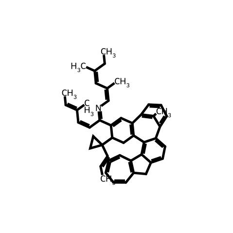 CC=CC1(C2CC3=C(C=C2C(/C=C\C(C)=C\C)=N\C=C(C)/C=C(/C)CC)c2cccc(c2C)-c2ccc4c(c23)C2=C(C=CC=C=C2)C4)CC1